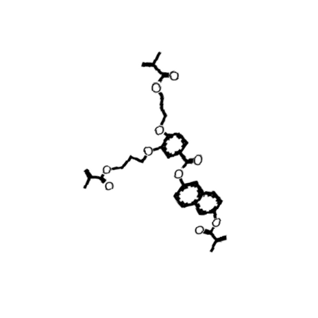 C=C(C)C(=O)OCCCOc1ccc(C(=O)Oc2ccc3cc(OC(=O)C(=C)C)ccc3c2)cc1OCCCOC(=O)C(=C)C